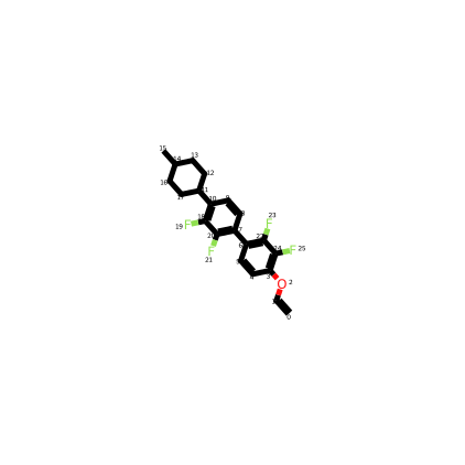 C=COc1ccc(-c2ccc(C3CCC(C)CC3)c(F)c2F)c(F)c1F